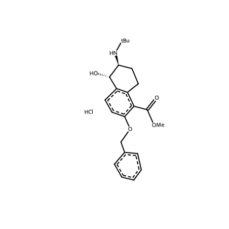 COC(=O)c1c(OCc2ccccc2)ccc2c1CC[C@H](NC(C)(C)C)[C@H]2O.Cl